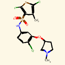 Cc1c(Cl)sc(Cl)c1S(=O)(=O)Nc1ccc(Cl)c(OC2CCN(C)C2)c1